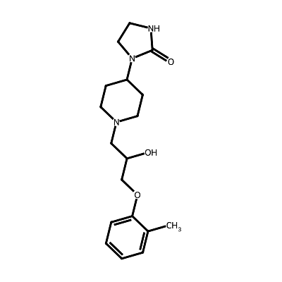 Cc1ccccc1OCC(O)CN1CCC(N2CCNC2=O)CC1